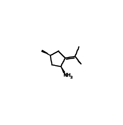 CC(C)=C1C[C@H](C)C[C@@H]1N